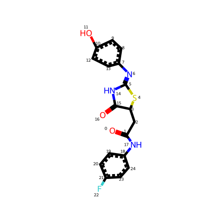 O=C(CC1S/C(=N/c2ccc(O)cc2)NC1=O)Nc1ccc(F)cc1